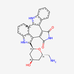 Cc1[nH]c2ccccc2c1C1=C(c2c([C@@H]3C[C@H](O)C[C@@H](CN)O3)[nH]c3ccccc23)C(=O)NC1=O